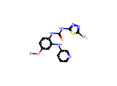 CCOc1ccc(NC(=O)Nc2nnc(C(F)(F)F)s2)c(Nc2cccnc2)c1